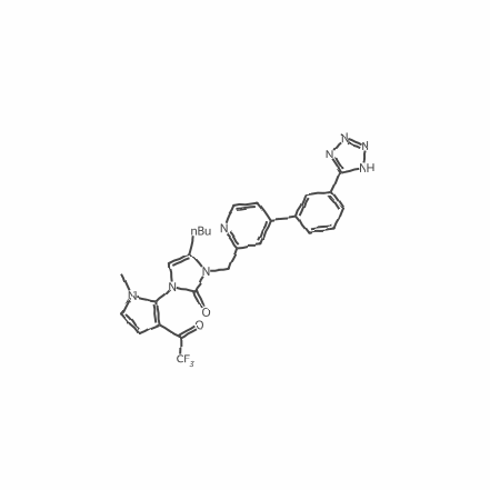 CCCCc1cn(-c2c(C(=O)C(F)(F)F)ccn2C)c(=O)n1Cc1cc(-c2cccc(-c3nnn[nH]3)c2)ccn1